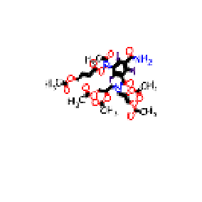 CC(=O)OCCCC(=O)ON(C(C)=O)c1c(I)c(C(N)=O)c(I)c(C(=O)N(CC(COC(C)=O)OC(C)=O)CC(COC(C)=O)OC(C)=O)c1I